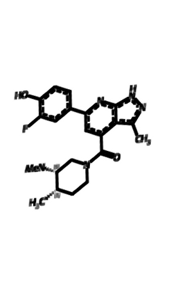 CN[C@@H]1CN(C(=O)c2cc(-c3ccc(O)c(F)c3)nc3[nH]nc(C)c23)CC[C@@H]1C